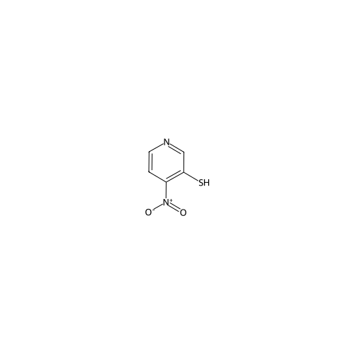 O=[N+]([O-])c1ccncc1S